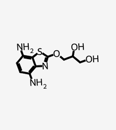 Nc1ccc(N)c2sc(OCC(O)CO)nc12